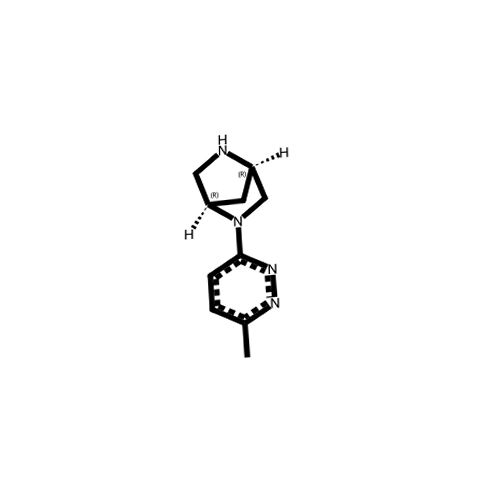 Cc1ccc(N2C[C@H]3C[C@@H]2CN3)nn1